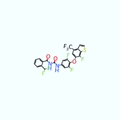 O=C(NC(=O)c1ccccc1C(F)F)Nc1cc(F)c(Oc2cc(C(F)(F)F)c3ccsc3c2F)c(F)c1